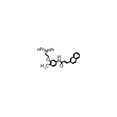 CCCN(CCC)CCOc1cc(NC(=O)C=Cc2ccc3ccccc3c2)ccc1C